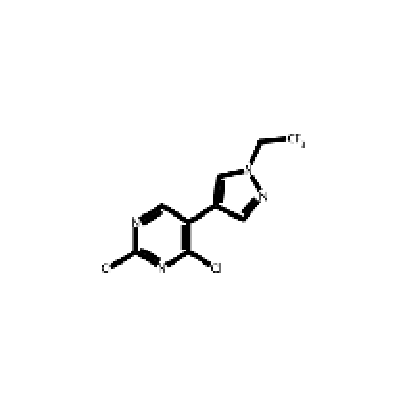 FC(F)(F)Cn1cc(-c2cnc(Cl)nc2Cl)cn1